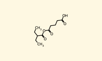 CCC(CC)C(=O)OC(=O)CCCC(=O)O